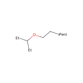 [CH2]CC(CC)OCCC(C)CCC